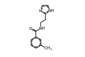 Cc1cccc(C(=O)NCCc2ncc[nH]2)c1